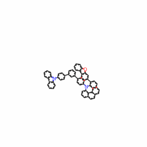 c1cc(-c2ccc(N(c3ccccc3-c3ccc4c(c3)oc3ccccc34)c3cccc4ccc5ccccc5c34)cc2)cc(-c2ccc(-n3c4ccccc4c4ccccc43)cc2)c1